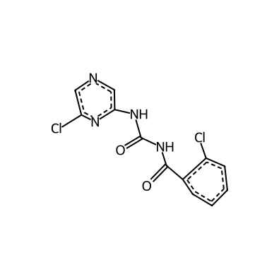 O=C(NC(=O)c1ccccc1Cl)Nc1cncc(Cl)n1